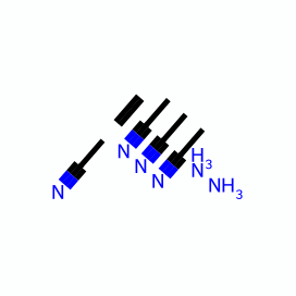 C=C.CC#N.CC#N.CC#N.CC#N.N.N